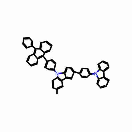 Cc1ccc2c(c1)c1cc(-c3ccc(-n4c5ccccc5c5ccccc54)cc3)ccc1n2-c1ccc(-c2c3ccccc3c(-c3ccccc3)c3ccccc23)cc1